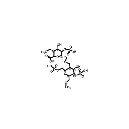 CC[C@@H]1C(C(=O)O)O[C@@H](COC[C@@H]2C(COS(=O)(=O)O)O[C@H](COC)C(NS(=O)(=O)O)[C@@H]2O)C(OS(=O)(=O)O)[C@@H]1O